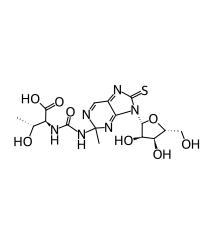 C[C@@H](O)[C@H](NC(=O)NC1(C)N=CC2=NC(=S)N([C@@H]3O[C@H](CO)[C@@H](O)[C@H]3O)C2=N1)C(=O)O